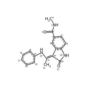 CNC(=O)c1ccc2c(c1)C(=C(C)Nc1ccccc1)C(=O)N2